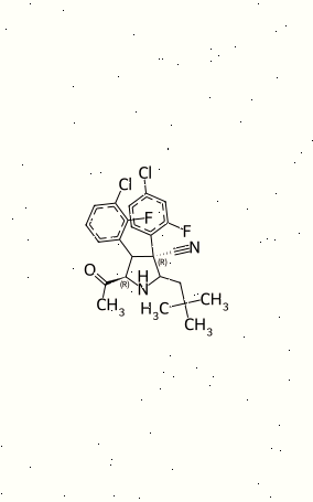 CC(=O)[C@@H]1NC(CC(C)(C)C)[C@](C#N)(c2ccc(Cl)cc2F)C1c1cccc(Cl)c1F